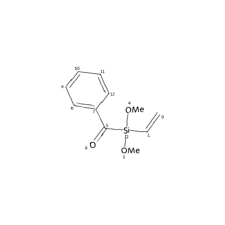 C=C[Si](OC)(OC)C(=O)c1ccccc1